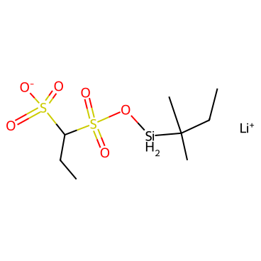 CCC(S(=O)(=O)[O-])S(=O)(=O)O[SiH2]C(C)(C)CC.[Li+]